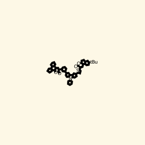 CC(C)(C)c1ccc2c(ccc3oc(=O)c(-c4ccc(-c5ccc6c(c5)c5cc(-c7cccc(-c8cc9c%10ccccc%10c%10ccccc%10c9oc8=O)c7)ccc5n6-c5ccccc5)s4)cc32)c1